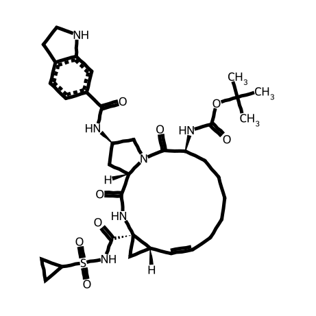 CC(C)(C)OC(=O)N[C@H]1CCCCC/C=C\[C@@H]2C[C@@]2(C(=O)NS(=O)(=O)C2CC2)NC(=O)[C@@H]2C[C@@H](NC(=O)c3ccc4c(c3)NCC4)CN2C1=O